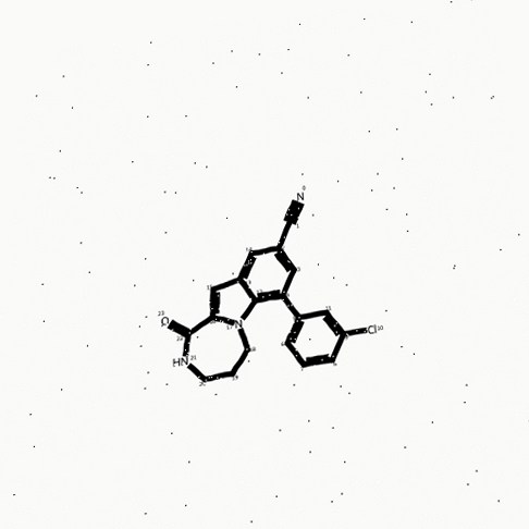 N#Cc1cc(-c2cccc(Cl)c2)c2c(c1)cc1n2CCCNC1=O